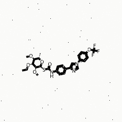 CCO[C@@H]1[C@@H](OC)[C@H](C)O[C@@H](SC(=O)Nc2ccc(-c3cn(-c4ccc(OC(F)(F)F)cc4)cn3)cc2)[C@@H]1OC